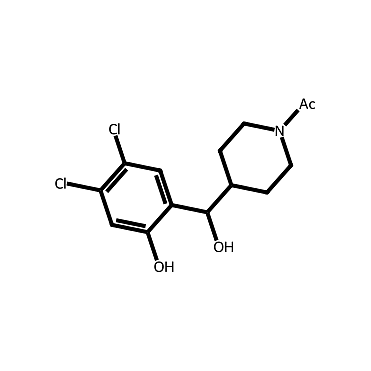 CC(=O)N1CCC(C(O)c2cc(Cl)c(Cl)cc2O)CC1